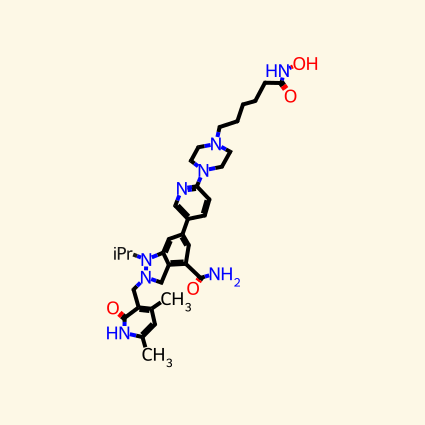 Cc1cc(C)c(CN2Cc3c(C(N)=O)cc(-c4ccc(N5CCN(CCCCCC(=O)NO)CC5)nc4)cc3N2C(C)C)c(=O)[nH]1